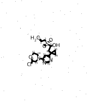 C=CCS(=O)(=O)C(O)CC1(c2cc(N3CCOC(Cl)C3)ncn2)CC1